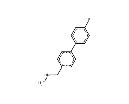 CNCc1ccc(-c2ccc(F)cc2)cc1